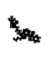 CCCCc1nc2c(NC(=O)c3ccccc3)ncnc2n1CCCCNC(=O)OC(C)(C)C